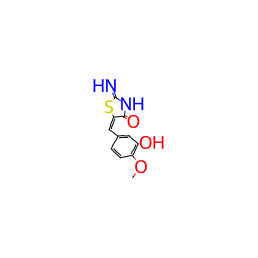 COc1ccc(/C=C2/SC(=N)NC2=O)cc1O